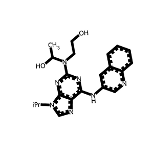 CC(O)N(CCO)c1nc(Nc2cnc3ccccc3c2)c2ncn(C(C)C)c2n1